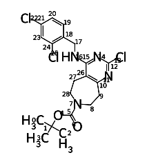 CC(C)(C)OC(=O)N1CCc2nc(Cl)nc(NCc3ccc(Cl)cc3Cl)c2CC1